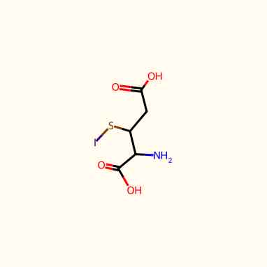 NC(C(=O)O)C(CC(=O)O)SI